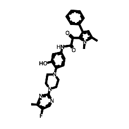 Cc1nc(N2CCN(c3ccc(NC(=O)C(=O)c4c(-c5ccccc5)cc(C)n4C)cc3O)CC2)ncc1F